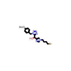 COc1ccc(Cn2nnnc2C(O)c2cn(CCCCBr)cn2)cc1